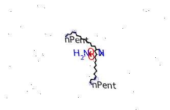 CCCCC/C=C\C/C=C\CCCCCCCCC(CN(C)C)C(CCCCCCCC/C=C\C/C=C\CCCCC)OC(N)=O